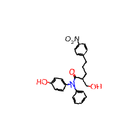 O=C(C(CO)CCCc1ccc([N+](=O)[O-])cc1)N(c1ccccc1)c1ccc(O)cc1